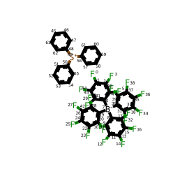 Fc1c(F)c(F)c([B-](c2c(F)c(F)c(F)c(F)c2F)(c2c(F)c(F)c(F)c(F)c2F)c2c(F)c(F)c(F)c(F)c2F)c(F)c1F.c1ccc([S+](c2ccccc2)c2ccccc2)cc1